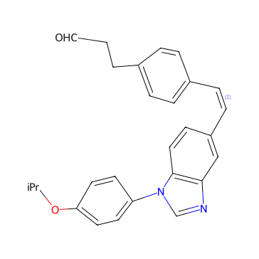 CC(C)Oc1ccc(-n2cnc3cc(/C=C\c4ccc(CCC=O)cc4)ccc32)cc1